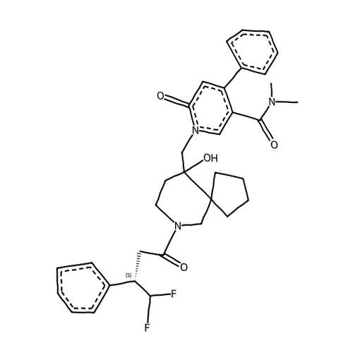 CN(C)C(=O)c1cn(CC2(O)CCN(C(=O)C[C@@H](c3ccccc3)C(F)F)CC23CCCC3)c(=O)cc1-c1ccccc1